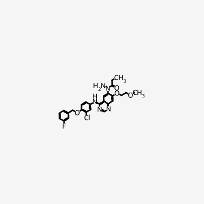 CCC(=O)N(N)c1cc2c(Nc3ccc(OCc4cccc(F)c4)c(Cl)c3)ncnc2cc1OCCOC